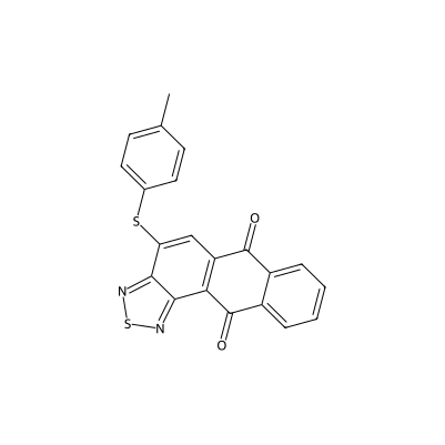 Cc1ccc(Sc2cc3c(c4nsnc24)C(=O)c2ccccc2C3=O)cc1